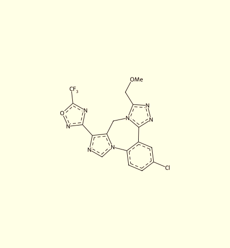 COCc1nnc2n1Cc1c(-c3noc(C(F)(F)F)n3)ncn1-c1ccc(Cl)cc1-2